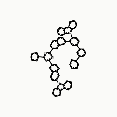 c1ccc(-c2cccc(-c3ccc(-n4c5ccccc5c5ccccc54)c(-c4ccc5ccc(-c6nc(-c7ccccc7)nc(-c7ccc8cc(-n9c%10ccccc%10c%10ccccc%109)ccc8c7)n6)cc5c4)c3)c2)cc1